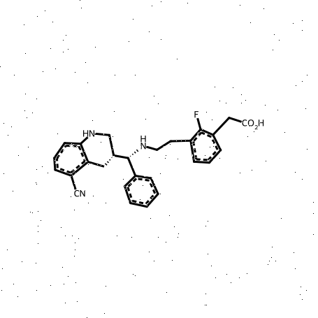 N#Cc1cccc2c1C[C@@H]([C@H](NCCc1cccc(CC(=O)O)c1F)c1ccccc1)CN2